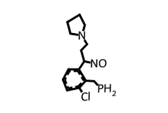 O=NC(CCN1CCCC1)c1cccc(Cl)c1CP